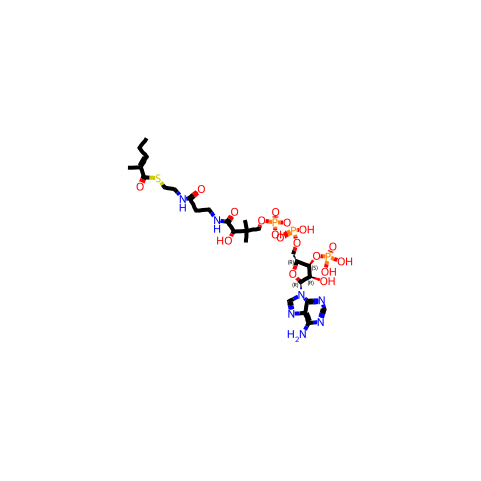 CCC=C(C)C(=O)SCCNC(=O)CCNC(=O)C(O)C(C)(C)COP(=O)(O)OP(=O)(O)OC[C@H]1O[C@@H](n2cnc3c(N)ncnc32)[C@H](O)[C@@H]1OP(=O)(O)O